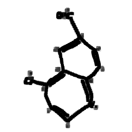 O=Cc1ccc2nccc(Cl)c2c1